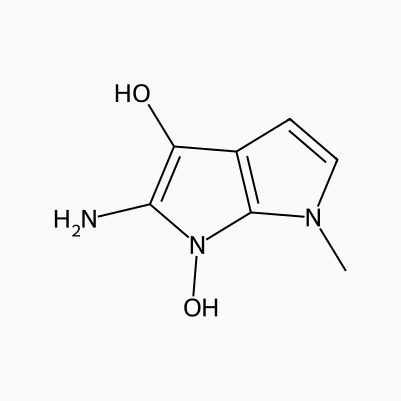 Cn1ccc2c(O)c(N)n(O)c21